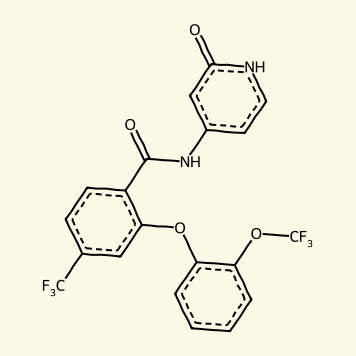 O=C(Nc1cc[nH]c(=O)c1)c1ccc(C(F)(F)F)cc1Oc1ccccc1OC(F)(F)F